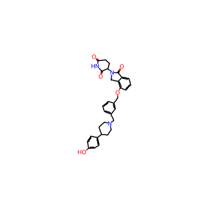 O=C1CCC(N2Cc3c(OCc4cccc(CN5CCC(c6ccc(O)cc6)CC5)c4)cccc3C2=O)C(=O)N1